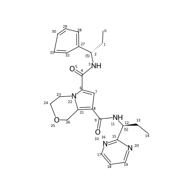 CC[C@H](NC(=O)c1cc(C(=O)N[C@@H](CC)c2ncccn2)c2n1CCOC2)c1ccccc1